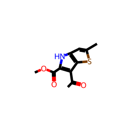 COC(=O)c1[nH]c2cc(C)sc2c1C(C)=O